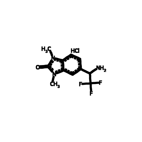 Cl.Cn1c(=O)n(C)c2cc(C(N)C(F)(F)F)ccc21